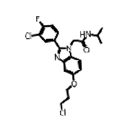 CC(C)NC(=O)Cn1c(-c2ccc(F)c(Cl)c2)nc2cc(OCCCCl)ccc21